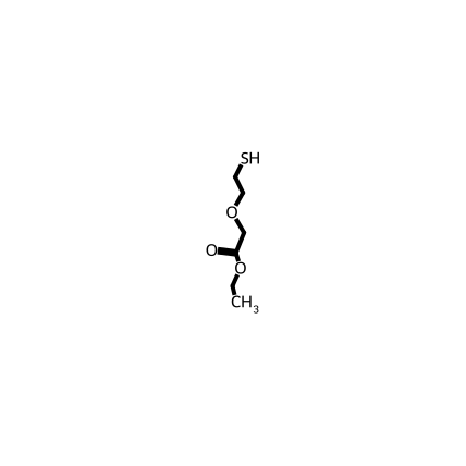 CCOC(=O)COCCS